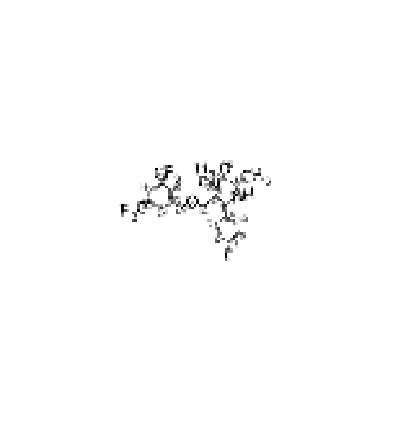 CC1N[C@@H](c2ccc(F)cc2)[C@@H](COCc2cc(C(F)(F)F)cc(C(F)(F)F)c2)N(C)C1=O